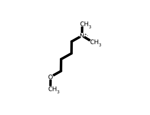 COCCCC[N+](C)C